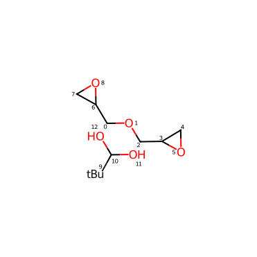 C(OCC1CO1)C1CO1.CC(C)(C)C(O)O